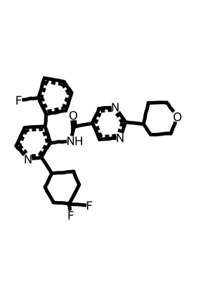 O=C(Nc1c(-c2ccccc2F)ccnc1C1CCC(F)(F)CC1)c1cnc(C2CCOCC2)nc1